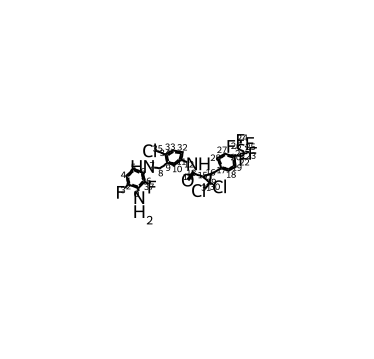 Nc1c(F)ccc(NCc2cc(NC(=O)C3C(c4ccc(S(F)(F)(F)(F)F)cc4)C3(Cl)Cl)ccc2Cl)c1F